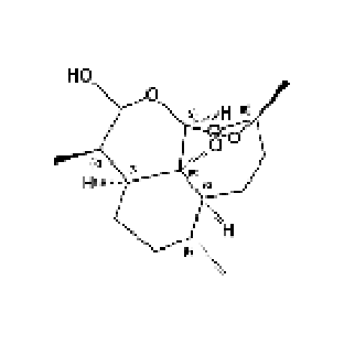 C[C@@H]1CC[C@H]2[C@@H](C)C(O)O[C@H]3O[C@@]4(C)CC[C@@H]1[C@]32OO4